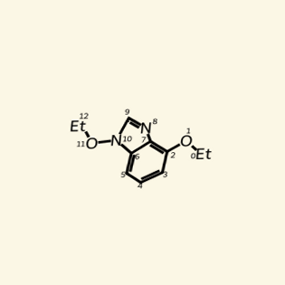 CCOc1cccc2c1n[c]n2OCC